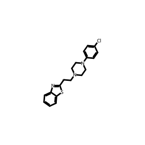 Clc1ccc(N2CCN(C[CH]c3nc4ccccc4s3)CC2)cc1